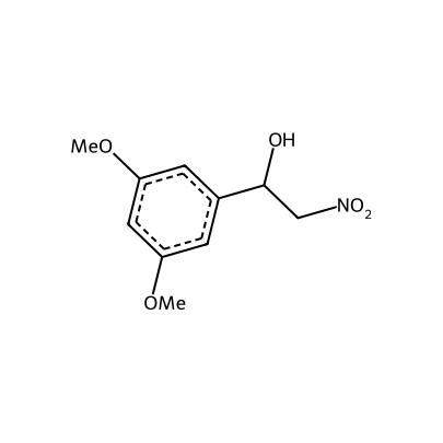 COc1cc(OC)cc(C(O)C[N+](=O)[O-])c1